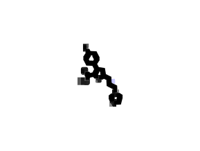 O=C(O)c1sc(/C=C/Cn2ccnc2)cc1-c1ccc(F)cc1